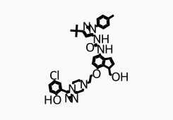 Cc1ccc(-n2nc(C(C)(C)C)cc2NC(=O)Nc2ccc(OCCN3CCn4c(nnc4-c4cc(Cl)ccc4O)C3)c3c2C=CC3CO)cc1